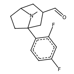 CN1C2CCC1(c1ccc(F)cc1F)CC(C=O)C2